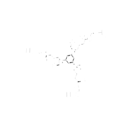 CCOC(=O)CCCN(C=O)c1cc(N(C=O)CCCC(=O)OCC)cc(N(C=O)CCCC(=O)OCC)c1